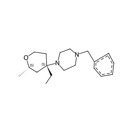 CC[C@]1(N2CCN(Cc3ccccc3)CC2)CCO[C@@H](C)C1